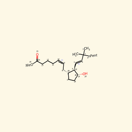 CCCCCC(C)(C)/C=C/[C@@H]1[C@@H](C/C=C\CCCC(=O)OC)CC[C@H]1O